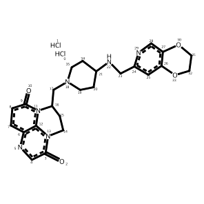 Cl.Cl.O=c1cnc2ccc(=O)n3c2n1CCC3CN1CCC(NCc2cc3c(cn2)OCCO3)CC1